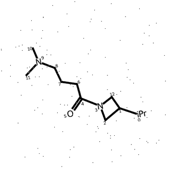 CC(C)C1CN(C(=O)CCCN(C)C)C1